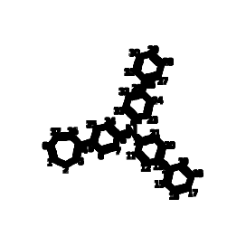 C1=CCC=C(c2ccc(N(c3ccc(-c4ccccc4)cc3)c3ccc(-c4ccccc4)cc3)cc2)C=C1